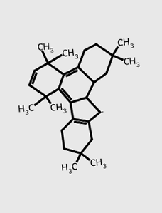 CC1(C)CCC2=C([CH]C3C2=C2C(=C4CCC(C)(C)CC43)C(C)(C)C=CC2(C)C)C1